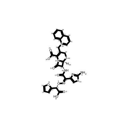 Nc1nc(/C(=N/O[C@H](C(=O)O)c2ccco2)C(=O)N[C@@H]2C(=O)N3C(C(=O)[O-])=C(C[n+]4cccc5ccccc54)CS[C@@H]23)cs1